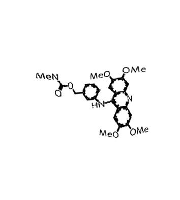 CNC(=O)OCc1cccc(Nc2c3cc(OC)c(OC)cc3nc3cc(OC)c(OC)cc23)c1